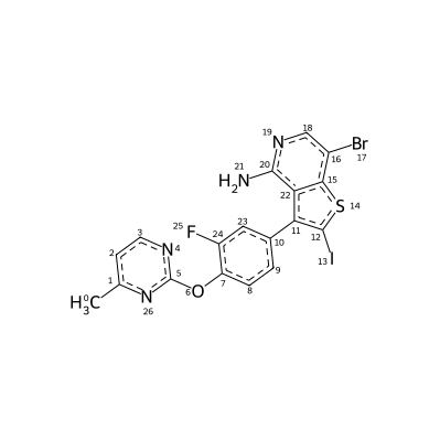 Cc1ccnc(Oc2ccc(-c3c(I)sc4c(Br)cnc(N)c34)cc2F)n1